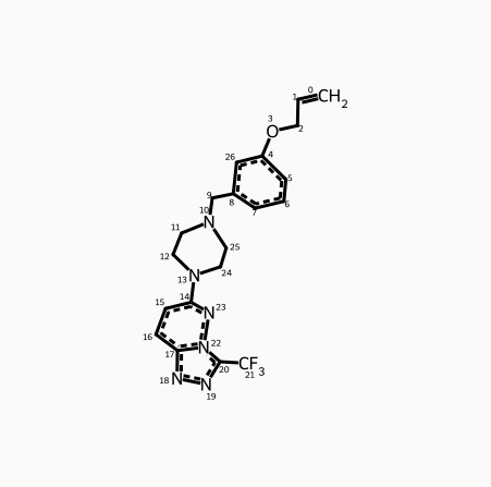 C=CCOc1cccc(CN2CCN(c3ccc4nnc(C(F)(F)F)n4n3)CC2)c1